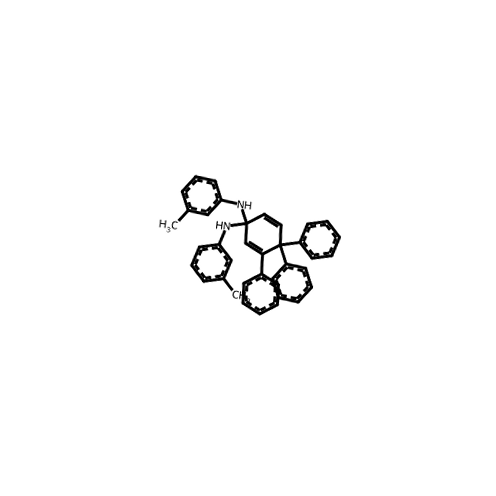 Cc1cccc(NC2(Nc3cccc(C)c3)C=CC(c3ccccc3)(c3ccccc3)C(c3ccccc3)=C2)c1